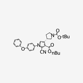 CCCCOC(=O)c1c([C@@H]2CCN(C(=O)OC(C)(C)C)C2)cn(-c2ccc(Oc3ccccc3)cc2)c1C#N